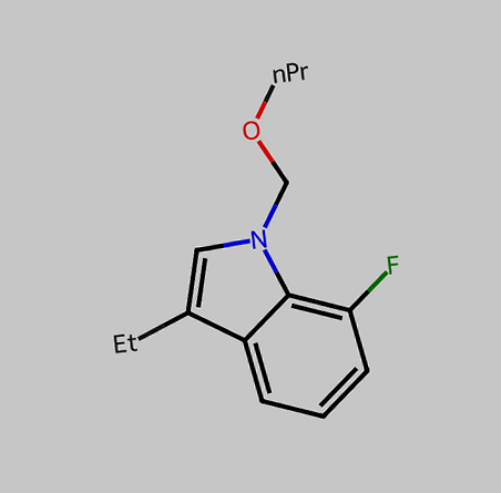 CCCOCn1cc(CC)c2cccc(F)c21